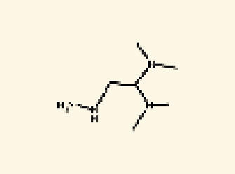 CN(C)C(CN[SiH3])N(C)C